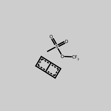 CS(=O)(=O)OC(F)(F)F.c1cc2ccc1-2